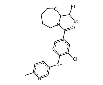 CCC(CC)C1OCCCCN1C(=O)c1cnc(Nc2ccc(C)nc2)c(Cl)c1